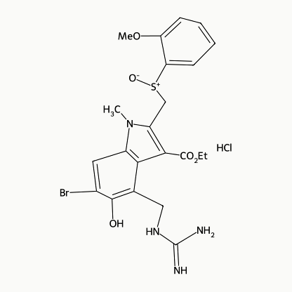 CCOC(=O)c1c(C[S+]([O-])c2ccccc2OC)n(C)c2cc(Br)c(O)c(CNC(=N)N)c12.Cl